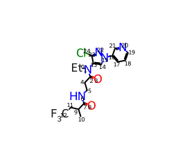 CCN(C(=O)CCNC(=O)C(C)CC(F)(F)F)c1cn(-c2cccnc2)nc1Cl